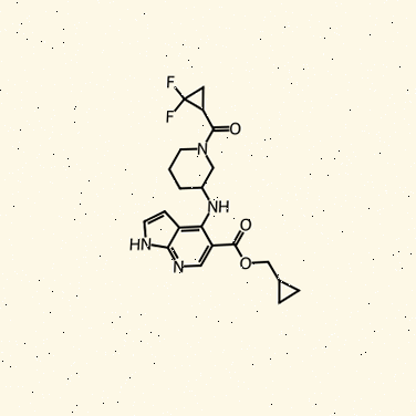 O=C(OCC1CC1)c1cnc2[nH]ccc2c1NC1CCCN(C(=O)C2CC2(F)F)C1